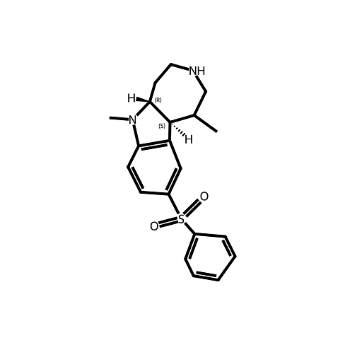 CC1CNCC[C@@H]2[C@@H]1c1cc(S(=O)(=O)c3ccccc3)ccc1N2C